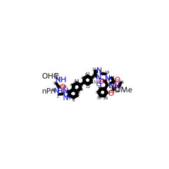 CCCN(Cc1nc2ccc3cc(-c4ccc(-c5cnc(CN(CC6(C)OCCO6)C(=O)[C@H](NC(=O)OC)c6ccccc6)[nH]5)cc4)ccc3c2[nH]1)C(=O)CNC=O